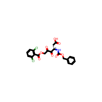 O=C(O)C[C@H](NC(=O)OCc1ccccc1)C(=O)C(=O)COC(=O)c1c(Cl)cccc1Cl